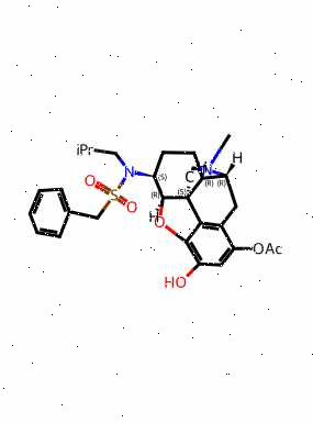 CC(=O)Oc1cc(O)c2c3c1C[C@@H]1[C@@H]4CC[C@H](N(CC(C)C)S(=O)(=O)Cc5ccccc5)[C@H](O2)[C@]34CCN1C